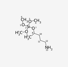 CO[Si](OC)(OC)OC(C)CCCN